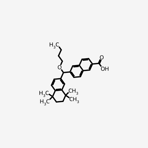 CCCCOC(c1ccc2c(c1)C(C)(C)CCC2(C)C)c1ccc2cc(C(=O)O)ccc2c1